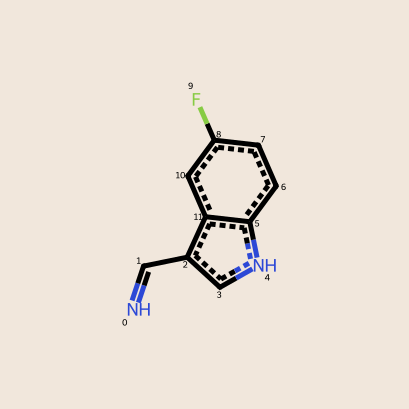 N=Cc1c[nH]c2ccc(F)cc12